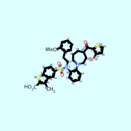 COc1ccccc1CCN(c1ccccc1N1CCCC(C(=O)c2sccc2Br)CC1)S(=O)(=O)c1ccc2sc(C(=O)O)c(C)c2c1